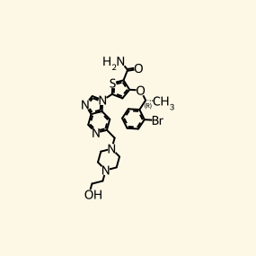 C[C@@H](Oc1cc(-n2cnc3cnc(CN4CCN(CCO)CC4)cc32)sc1C(N)=O)c1ccccc1Br